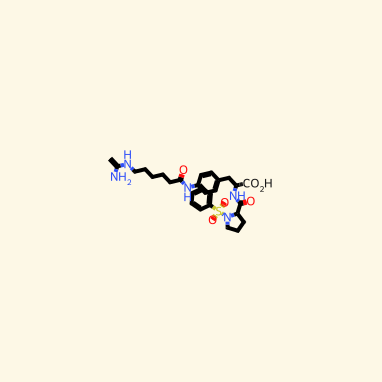 C=C(N)NCCCCCC(=O)Nc1ccc(CC(NC(=O)C2CCCN2S(=O)(=O)c2ccccc2)C(=O)O)cc1